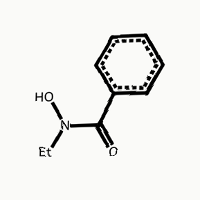 CCN(O)C(=O)c1ccccc1